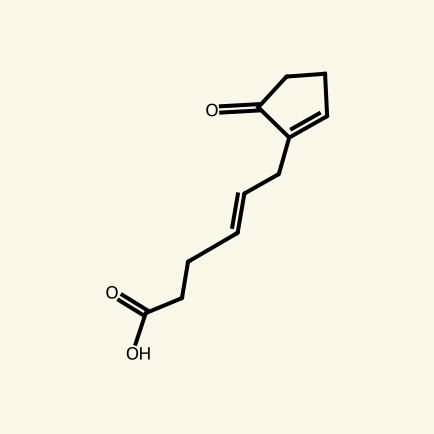 O=C(O)CCC=CCC1=CCCC1=O